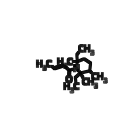 CC=CC(=O)N1C(C)(CC)CCC(C)C1(C)CC